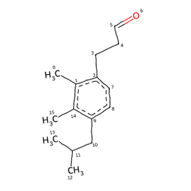 Cc1c(CCC=O)ccc(CC(C)C)c1C